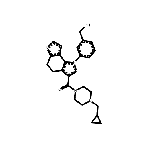 O=C(c1nn(-c2cccc(CO)c2)c2c1CCc1sccc1-2)N1CCN(CC2CC2)CC1